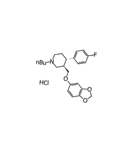 CCCCN1CC[C@H](c2ccc(F)cc2)[C@@H](COc2ccc3c(c2)OCO3)C1.Cl